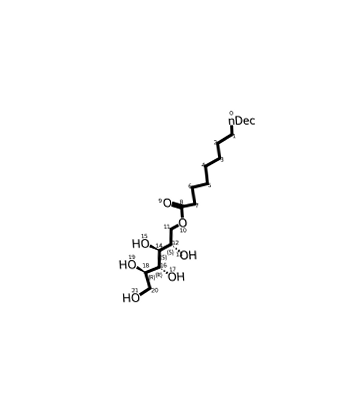 CCCCCCCCCCCCCCCCCC(=O)OC[C@H](O)[C@H](O)[C@H](O)[C@H](O)CO